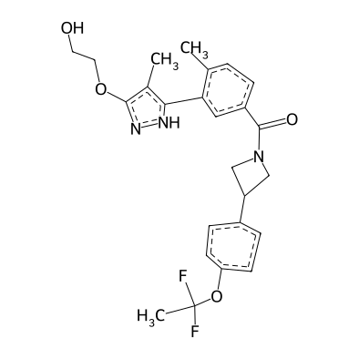 Cc1ccc(C(=O)N2CC(c3ccc(OC(C)(F)F)cc3)C2)cc1-c1[nH]nc(OCCO)c1C